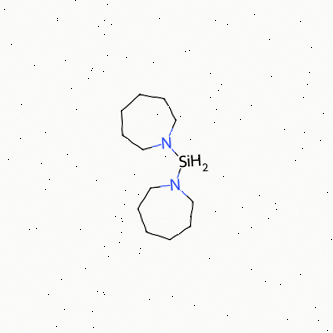 C1CCCN([SiH2]N2CCCCCC2)CC1